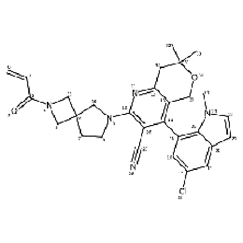 C=CC(=O)N1CC2(CCN(c3nc4c(c(-c5cc(Cl)cc6ccn(C)c56)c3C#N)COC(C)(C)C4)C2)C1